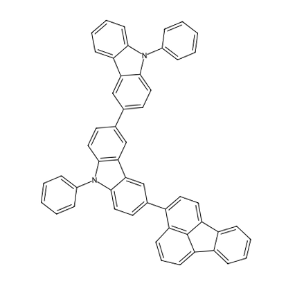 c1ccc(-n2c3ccccc3c3cc(-c4ccc5c(c4)c4cc(-c6ccc7c8c(cccc68)-c6ccccc6-7)ccc4n5-c4ccccc4)ccc32)cc1